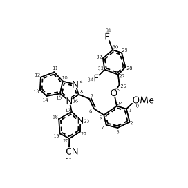 COc1cccc(/C=C/c2nc3ccccc3n2-c2ccc(C#N)cn2)c1OCc1ccc(F)cc1F